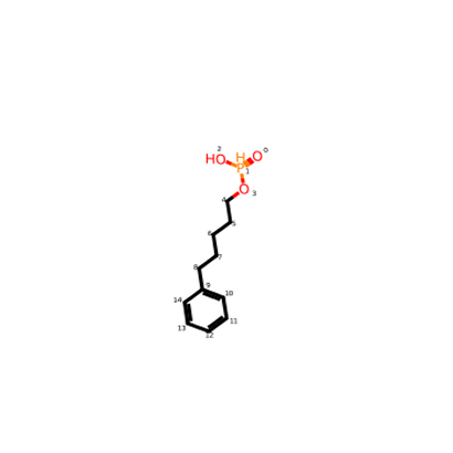 O=[PH](O)OCCCCCc1ccccc1